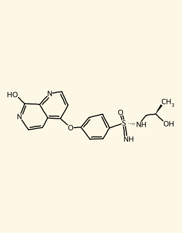 C[C@@H](O)CN[S@@](=N)(=O)c1ccc(Oc2ccnc3c(O)nccc23)cc1